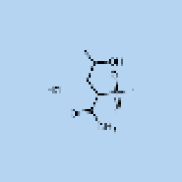 CC(O)CC(C(N)=O)S(C)(=O)=O.Cl